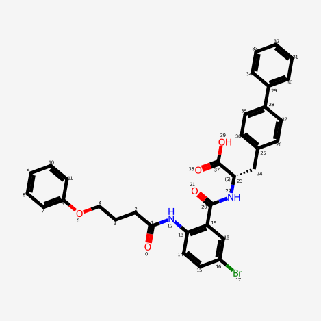 O=C(CCCOc1ccccc1)Nc1ccc(Br)cc1C(=O)N[C@@H](Cc1ccc(-c2ccccc2)cc1)C(=O)O